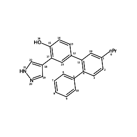 CCCc1ccc(-c2ccccc2)c(-c2ccc(O)c(-c3cn[nH]c3)c2)c1